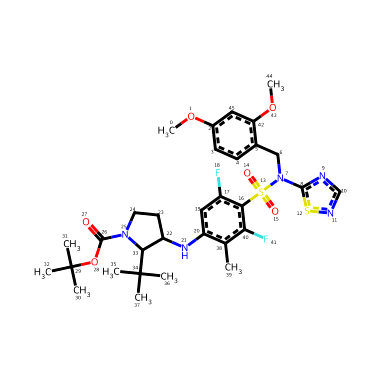 COc1ccc(CN(c2ncns2)S(=O)(=O)c2c(F)cc(NC3CCN(C(=O)OC(C)(C)C)C3C(C)(C)C)c(C)c2F)c(OC)c1